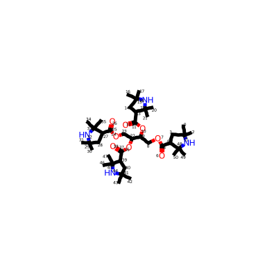 CC1(C)CC(C(=O)OCC(OC(=O)C2CC(C)(C)NC2(C)C)C(COC(=O)C2CC(C)(C)NC2(C)C)OC(=O)C2CC(C)(C)NC2(C)C)C(C)(C)N1